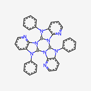 c1ccc(N2B3N(B4N(B5N3c3ncccc3N5c3ccccc3)c3ncccc3N4c3ccccc3)c3ncccc32)cc1